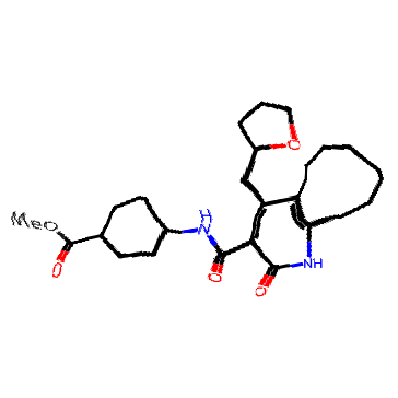 COC(=O)C1CCC(NC(=O)c2c(CC3CCCO3)c3c([nH]c2=O)CCCCCC3)CC1